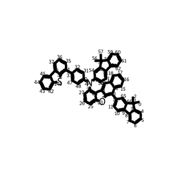 CC1(C)c2ccccc2-c2ccc(-c3c4ccccc4cc4c3oc3cccc(N(c5ccc(-c6cccc7c6sc6ccccc67)cc5)c5ccc6c(c5)C(C)(C)c5ccccc5-6)c34)cc21